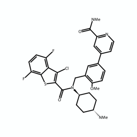 CNC(=O)c1cc(-c2ccc(OC)c(CN(C(=O)c3sc4c(F)ccc(F)c4c3Cl)[C@H]3CC[C@H](NC)CC3)c2)ccn1